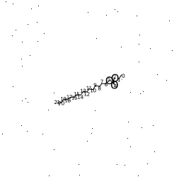 C[CH]OC(=O)OCCCCCCCCCCCCCCCC